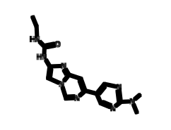 CCNC(=O)Nc1cn2cnc(-c3cnc(N(C)C)nc3)cc2n1